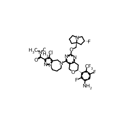 CN(C)C(=O)c1nn2c(c1Cl)CN(c1nc(OC[C@@]34CCCN3C[C@H](F)C4)nc3c1CO[C@@H](c1c(F)c(N)cc(F)c1C(F)(F)F)C3)CCC2